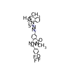 CC(C)c1ccccc1N1C(=O)CS/C1=N\N=C\c1ccc2c(c1)c(=O)n(C)n1c(-c3ccc(OC(F)(F)F)cc3)cnc21